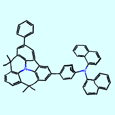 CC1(C)c2cccc3c2-n2c4c1cc(-c1ccccc1)cc4c1cc(-c4ccc(N(c5cccc6ccccc56)c5cccc6ccccc56)cc4)cc(c12)C3(C)C